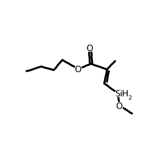 CCCCOC(=O)C(C)=C[SiH2]OC